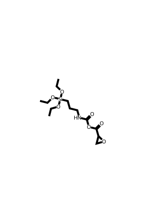 CCO[Si](CCCNC(=O)OC(=O)C1CO1)(OCC)OCC